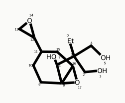 CCC(CO)(CO)C(O)C12CCC(C3CO3)CC1O2